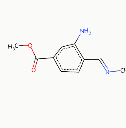 C/N=C/c1ccc(C(=O)OC)cc1N